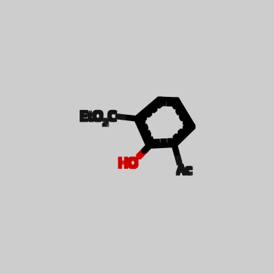 CCOC(=O)c1cccc(C(C)=O)c1O